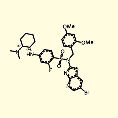 COc1ccc(CN(c2nc3ncc(Br)cc3s2)S(=O)(=O)c2ccc(N[C@H]3CCCC[C@@H]3N(C)C)cc2F)c(OC)c1